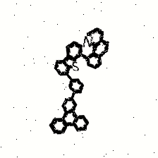 c1cc(-c2ccc3c4ccccc4c4ccccc4c3c2)cc(-c2cccc3c2sc2c(-c4cccc5ccc6cccnc6c45)cccc23)c1